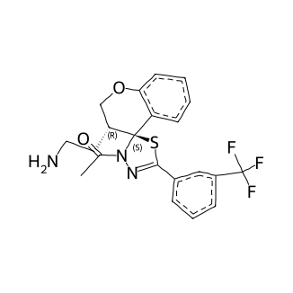 CC(=O)N1N=C(c2cccc(C(F)(F)F)c2)S[C@@]12c1ccccc1OC[C@H]2CCN